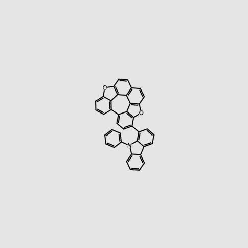 c1ccc(-n2c3ccccc3c3cccc(-c4ccc5c6c4oc4ccc7ccc8oc9cccc-5c9c8c7c46)c32)cc1